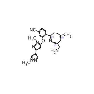 C/C1=C/C(CN)=C\N=C(\c2ccc(C#N)cc2Oc2cc(-c3cnn(C)c3)nn2C)CC1